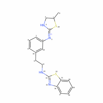 CC1CN/C(=N\c2cccc(CCNc3nc4ccccc4s3)c2)S1